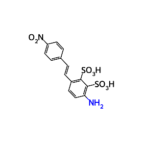 Nc1ccc(C=Cc2ccc([N+](=O)[O-])cc2)c(S(=O)(=O)O)c1S(=O)(=O)O